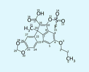 CCCOc1ccc2c(c1)C(OS(=O)(=O)F)=C(C(=O)O)C2(C)c1ccc2c(c1)OCO2